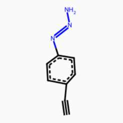 C#Cc1ccc(N=NN)cc1